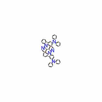 c1ccc(N(c2ccccc2)c2ccc3c(c2)c2ccccc2n3-c2ncccc2-c2cccnc2-n2c3ccccc3c3cc(N(c4ccccc4)c4ccccc4)ccc32)cc1